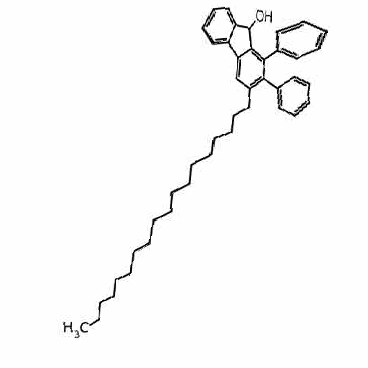 CCCCCCCCCCCCCCCCCCc1cc2c(c(-c3ccccc3)c1-c1ccccc1)C(O)c1ccccc1-2